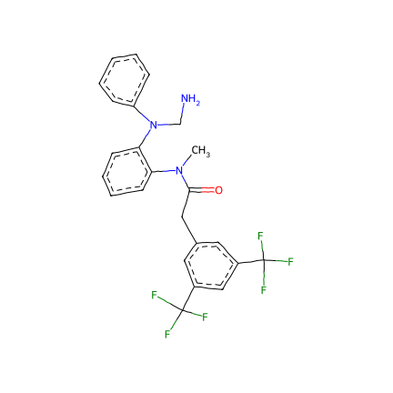 CN(C(=O)Cc1cc(C(F)(F)F)cc(C(F)(F)F)c1)c1ccccc1N(CN)c1ccccc1